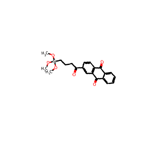 CO[Si](CCCC(=O)c1ccc2c(c1)C(=O)c1ccccc1C2=O)(OC)OC